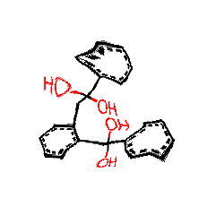 OC(O)(c1ccccc1)c1ccccc1C(O)(O)c1ccccc1